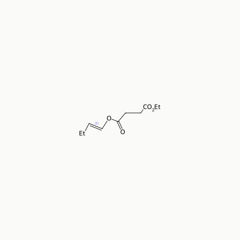 CC/C=C/OC(=O)CCC(=O)OCC